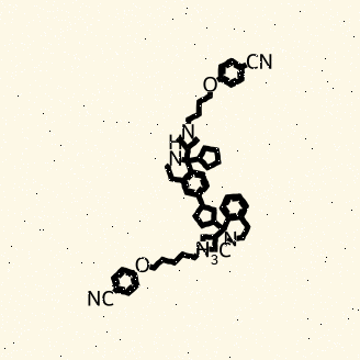 CN1CCc2ccccc2C1(C1CCC(c2ccc3c(c2)CCNC3(C2CCCC2)C2CN(CCCCOc3ccc(C#N)cc3)C2)C1)C1CN(CCCCCOc2ccc(C#N)cc2)C1